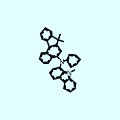 Cn1c2ccccc2c2cccc(N(c3ccccc3)c3cc4c(c5ccccc35)-c3ccccc3C4(C)C)c21